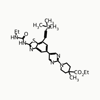 CCNC(=O)Nc1nc2cc(-c3cnc(N4CCC(C)(C(=O)OCC)CC4)nc3)cc(C#C[Si](C)(C)C)c2s1